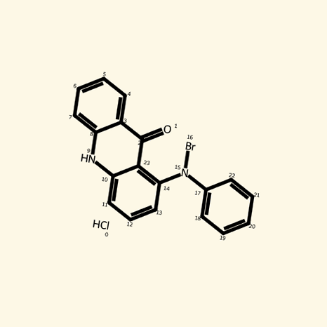 Cl.O=c1c2ccccc2[nH]c2cccc(N(Br)c3ccccc3)c12